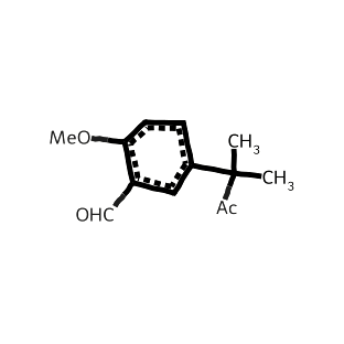 COc1ccc(C(C)(C)C(C)=O)cc1C=O